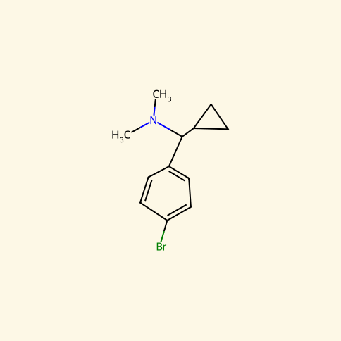 CN(C)C(c1ccc(Br)cc1)C1CC1